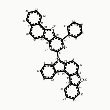 c1ccc(-c2nc(-n3c4ccccc4c4c5c(ccc43)oc3ccccc35)nc3c2sc2c4ccccc4ccc32)cc1